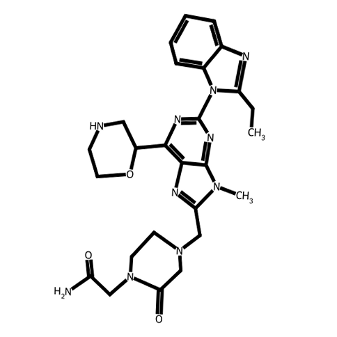 CCc1nc2ccccc2n1-c1nc(C2CNCCO2)c2nc(CN3CCN(CC(N)=O)C(=O)C3)n(C)c2n1